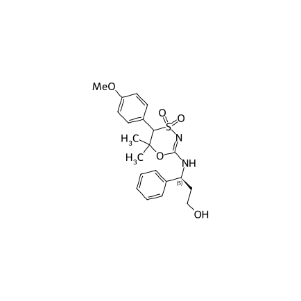 COc1ccc(C2C(C)(C)OC(N[C@@H](CCO)c3ccccc3)=NS2(=O)=O)cc1